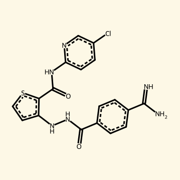 N=C(N)c1ccc(C(=O)NNc2ccsc2C(=O)Nc2ccc(Cl)cn2)cc1